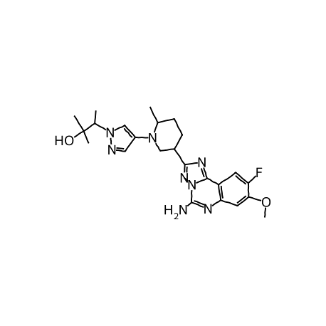 COc1cc2nc(N)n3nc(C4CCC(C)N(c5cnn(C(C)C(C)(C)O)c5)C4)nc3c2cc1F